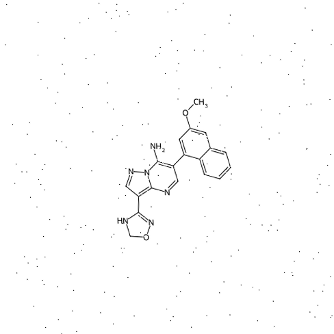 COc1cc(-c2cnc3c(C4=NOCN4)cnn3c2N)c2ccccc2c1